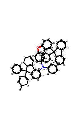 CC1C=CC(C2(c3ccccc3)C3=C(C=CCC3)c3c(N(c4ccccc4)c4ccc5oc6cccc(C7(c8ccccc8)c8ccccc8-c8ccccc87)c6c5c4)cccc32)=CC1